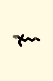 CCC(C)(N)CCCOC